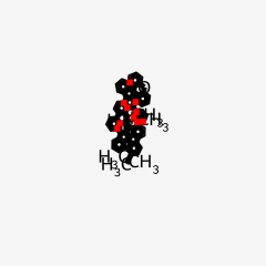 CC(C)(C)c1ccc2c(c1)C1(c3ccccc3-c3ccc(N(c4ccccc4-c4ccccc4)c4ccccc4-c4ccc5c(c4)C4(c6ccccc6Oc6ccccc64)c4ccccc4-5)cc31)c1cc(C(C)(C)C)ccc1-2